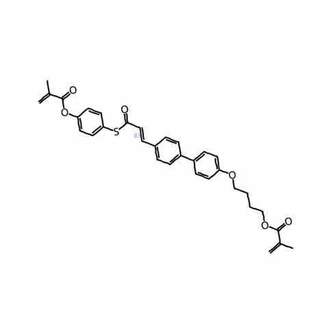 C=C(C)C(=O)OCCCCOc1ccc(-c2ccc(/C=C/C(=O)Sc3ccc(OC(=O)C(=C)C)cc3)cc2)cc1